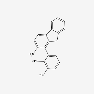 CCCc1c(-c2c(N)ccc3c2Cc2ccccc2-3)cccc1C(C)(C)C